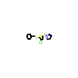 Clc1cc(SN2CCCC2)sc1SCc1ccccc1